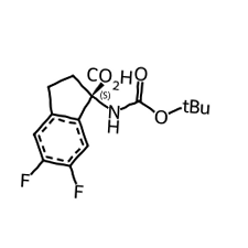 CC(C)(C)OC(=O)N[C@@]1(C(=O)O)CCc2cc(F)c(F)cc21